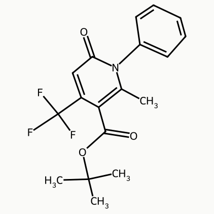 Cc1c(C(=O)OC(C)(C)C)c(C(F)(F)F)cc(=O)n1-c1ccccc1